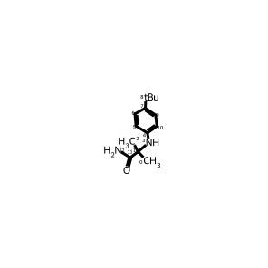 CC(C)(Nc1ccc(C(C)(C)C)cc1)C(N)=O